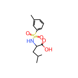 Cc1cccc(S(=O)(=O)NC(CC(C)C)C(=O)O)c1